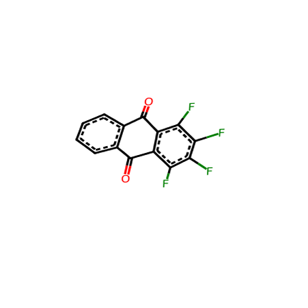 O=C1c2ccccc2C(=O)c2c(F)c(F)c(F)c(F)c21